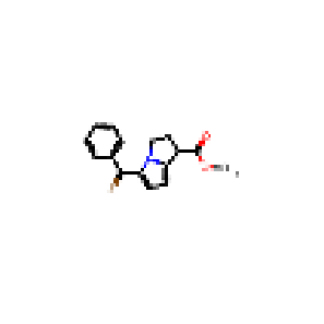 COC(=O)C1CCn2c(C(=S)c3ccccc3)ccc21